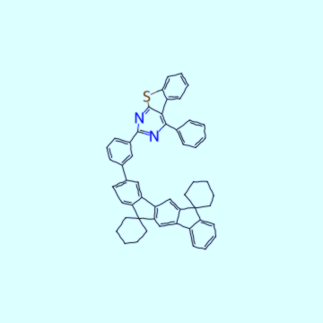 c1ccc(-c2nc(-c3cccc(-c4ccc5c(c4)-c4cc6c(cc4C54CCCCC4)-c4ccccc4C64CCCCC4)c3)nc3sc4ccccc4c23)cc1